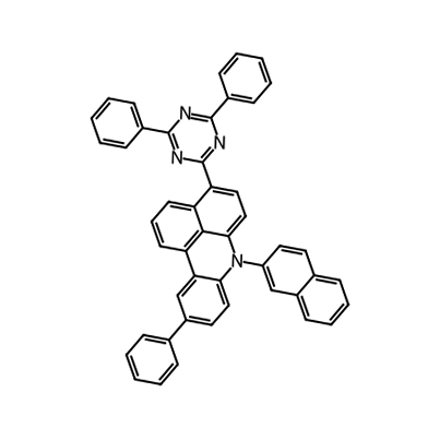 c1ccc(-c2ccc3c(c2)-c2cccc4c(-c5nc(-c6ccccc6)nc(-c6ccccc6)n5)ccc(c24)N3c2ccc3ccccc3c2)cc1